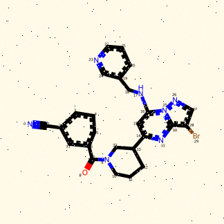 N#Cc1cccc(C(=O)N2CCCC(c3cc(NCc4cccnc4)n4ncc(Br)c4n3)C2)c1